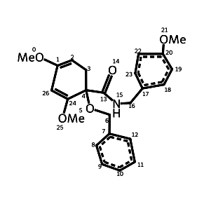 COC1=CCC(OCc2ccccc2)(C(=O)NCc2ccc(OC)cc2)C(OC)=C1